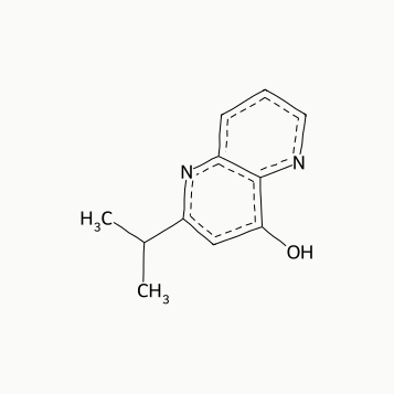 CC(C)c1cc(O)c2ncccc2n1